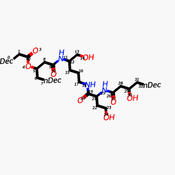 CCCCCCCCCCCC(=O)OC(CCCCCCCCCCC)CC(=O)NC(CO)CCCNC(=O)C(CCO)NC(=O)CC(O)CCCCCCCCCCC